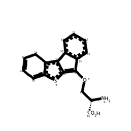 N[C@@H](COC1=c2sc3c(c2-c2ccccc21)CC=CC=3)C(=O)O